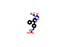 CCN1C(=O)COc2nc(-c3ccc(CNC(=O)O)cc3)c(-c3ccccc3)cc21